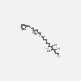 OCCC(O)C(O)C(O)C(O)CCCCCOCn1cc(COCc2ccccn2)nn1